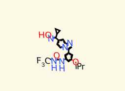 CC(C)Oc1cc(NC(=O)NCC(F)(F)F)cc(-c2cnc3cc(C(=NO)C4CC4)ccn23)c1